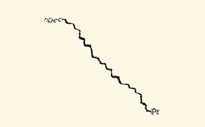 CCCCCCCCCCCCCCCCCCCCCCCCCCCCCCCCCCCCC(C)C